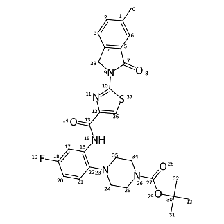 Cc1ccc2c(c1)C(=O)N(c1nc(C(=O)Nc3cc(F)ccc3N3CCN(C(=O)OC(C)(C)C)CC3)cs1)C2